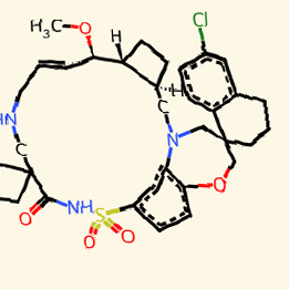 CO[C@@H]1/C=C/CNCC2(CCC2)C(=O)NS(=O)(=O)c2ccc3c(c2)N(C[C@@H]2CC[C@H]21)C[C@@]1(CCCc2cc(Cl)ccc21)CO3